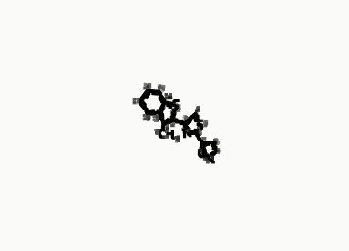 Cc1c(-c2csc(-c3ccno3)n2)sc2ccccc12